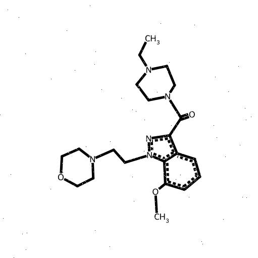 CCN1CCN(C(=O)c2nn(CCN3CCOCC3)c3c(OC)cccc23)CC1